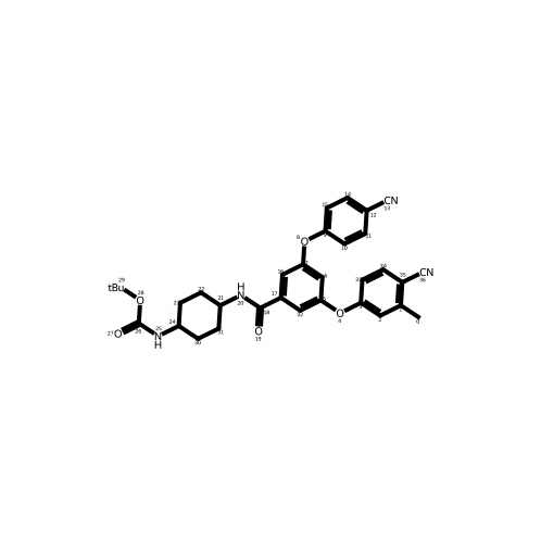 Cc1cc(Oc2cc(Oc3ccc(C#N)cc3)cc(C(=O)NC3CCC(NC(=O)OC(C)(C)C)CC3)c2)ccc1C#N